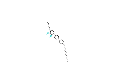 CCCCCCCCCC[C@H]1CC[C@H](C2C=CC(c3ccc(CCCCC)c(F)c3F)=CC2)CC1